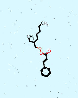 CCCCCC(CC)COOC(=O)C=Cc1ccccc1